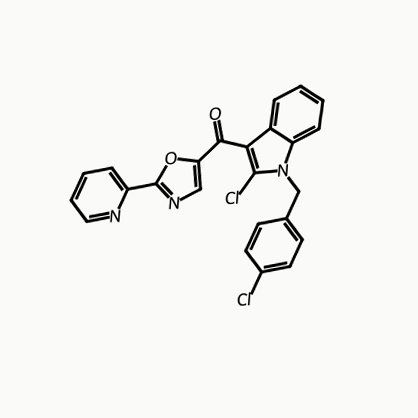 O=C(c1cnc(-c2ccccn2)o1)c1c(Cl)n(Cc2ccc(Cl)cc2)c2ccccc12